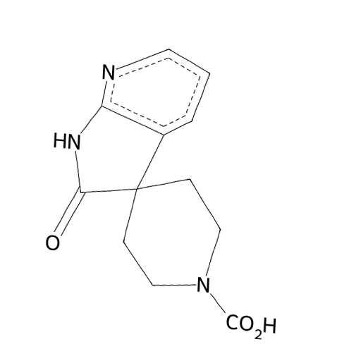 O=C(O)N1CCC2(CC1)C(=O)Nc1ncccc12